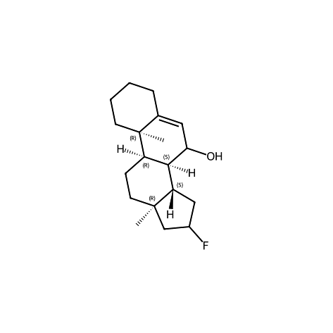 C[C@]12CC[C@@H]3[C@@H](C(O)C=C4CCCC[C@@]43C)[C@@H]1CC(F)C2